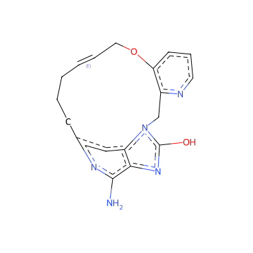 Nc1nc2cc3c1nc(O)n3Cc1ncccc1OC/C=C/CCC2